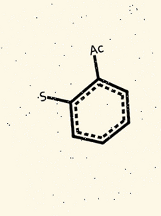 CC(=O)c1ccccc1[S]